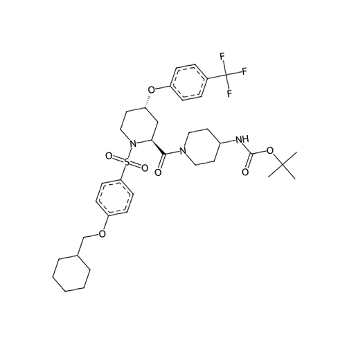 CC(C)(C)OC(=O)NC1CCN(C(=O)[C@@H]2C[C@@H](Oc3ccc(C(F)(F)F)cc3)CCN2S(=O)(=O)c2ccc(OCC3CCCCC3)cc2)CC1